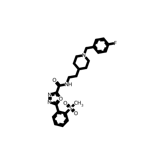 CS(=O)(=O)c1ccccc1-c1nnc(C(=O)NCCC2CCN(Cc3ccc(F)cc3)CC2)o1